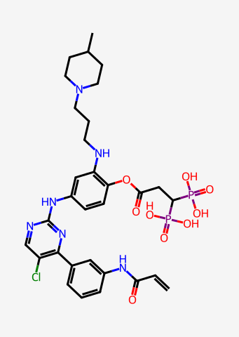 C=CC(=O)Nc1cccc(-c2nc(Nc3ccc(OC(=O)CC(P(=O)(O)O)P(=O)(O)O)c(NCCCN4CCC(C)CC4)c3)ncc2Cl)c1